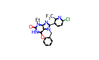 CCn1c(=O)[nH]c(=O)c2c1nc(-c1ccc(Cl)nc1C(F)(F)F)n2Cc1ccccc1